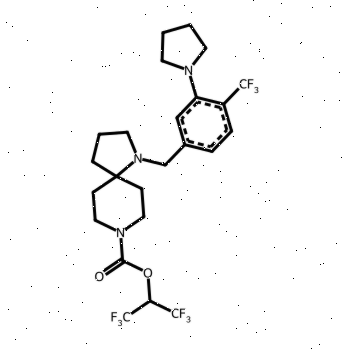 O=C(OC(C(F)(F)F)C(F)(F)F)N1CCC2(CCCN2Cc2ccc(C(F)(F)F)c(N3CCCC3)c2)CC1